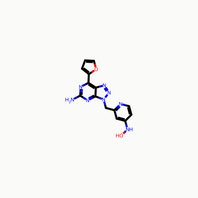 Nc1nc(-c2ccco2)c2nnn(Cc3cc(NO)ccn3)c2n1